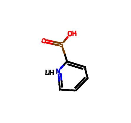 O=S(O)c1ccccn1.[LiH]